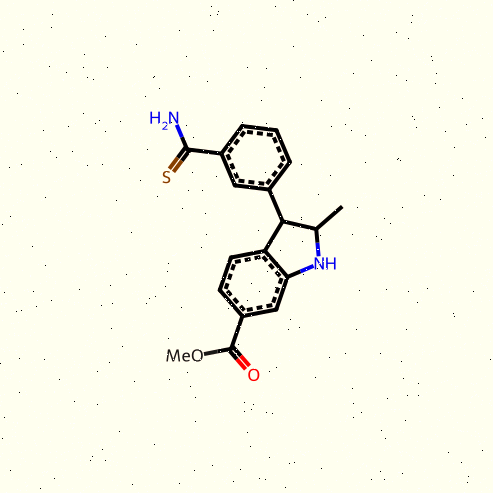 COC(=O)c1ccc2c(c1)NC(C)C2c1cccc(C(N)=S)c1